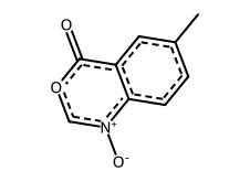 Cc1ccc2c(c1)c(=O)oc[n+]2[O-]